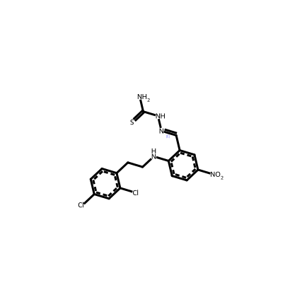 NC(=S)N/N=C/c1cc([N+](=O)[O-])ccc1NCCc1ccc(Cl)cc1Cl